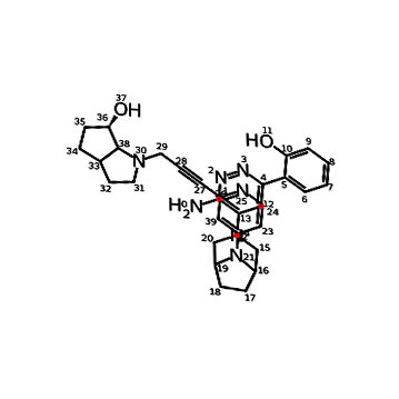 Nc1nnc(-c2ccccc2O)cc1N1CC2CCC(C1)N2c1ccnc(C#CCN2CCC3CC[C@@H](O)C32)c1